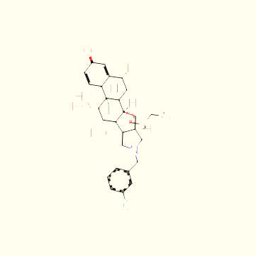 CC(=O)CSC(=O)[C@@]12CN(Cc3cccc(Cl)c3)C[C@@H]1C[C@H]1[C@@H]3C[C@H](F)C4=CC(=O)C=C[C@]4(C)[C@@]3(F)[C@@H](O)C[C@@]12C